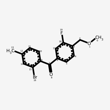 COCc1ccc(C(=O)c2ccc(C)cc2Br)cc1F